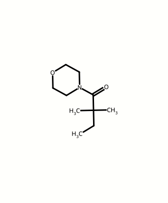 CCC(C)(C)C(=O)N1CCOCC1